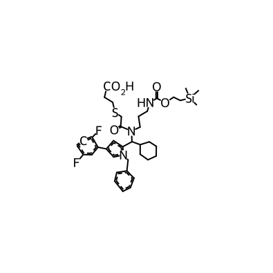 C[Si](C)(C)CCOC(=O)NCCCN(C(=O)CSCCC(=O)O)C(c1cc(-c2cc(F)ccc2F)cn1Cc1ccccc1)C1CCCCC1